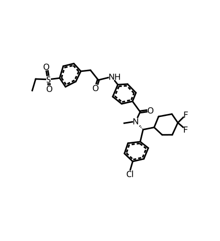 CCS(=O)(=O)c1ccc(CC(=O)Nc2ccc(C(=O)N(C)[C@@H](c3ccc(Cl)cc3)C3CCC(F)(F)CC3)cc2)cc1